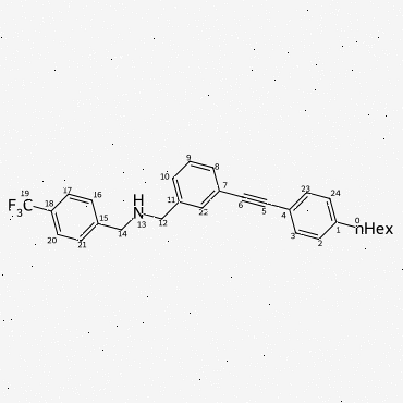 CCCCCCc1ccc(C#Cc2cccc(CNCc3ccc(C(F)(F)F)cc3)c2)cc1